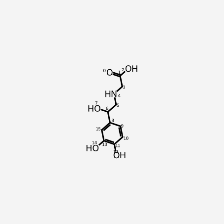 O=C(O)CNCC(O)c1ccc(O)c(O)c1